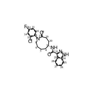 O=C(N[C@@H]1CCCCN(c2ccc(F)cc2Cl)C(=O)CC1)c1n[nH]c2ccccc12